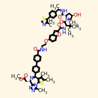 COC(=O)C[C@@H]1N=C(c2ccc(-c3ccc(C(=O)NCCOc4ccc5oc(C(=O)N[C@H](C(=O)N6C[C@H](O)C[C@H]6C(=O)N[C@@H](C)c6ccc(-c7scnc7C)cc6)C(C)(C)C)cc5c4)cc3)cc2)c2c(sc(C)c2C)-n2c(C)nnc21